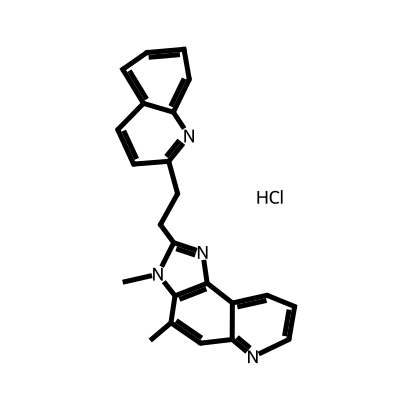 Cc1cc2ncccc2c2nc(CCc3ccc4ccccc4n3)n(C)c12.Cl